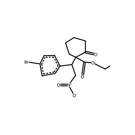 CCOC(=O)C1(C(C[N+](=O)[O-])c2ccc(Br)cc2)CCCCC1=O